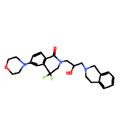 O=C1c2ccc(N3CCOCC3)cc2C(F)(F)CN1CC(O)CN1CCc2ccccc2C1